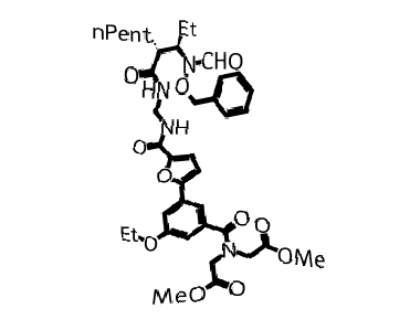 CCCCC[C@@H](C(=O)NCNC(=O)c1ccc(-c2cc(OCC)cc(C(=O)N(CC(=O)OC)CC(=O)OC)c2)o1)[C@@H](CC)N(C=O)OCc1ccccc1